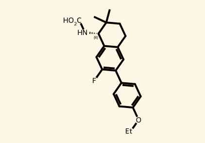 CCOc1ccc(-c2cc3c(cc2F)[C@H](NC(=O)O)C(C)(C)CC3)cc1